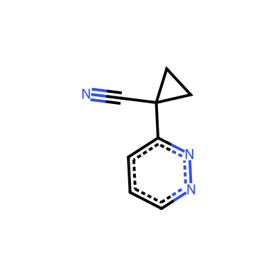 N#CC1(c2cccnn2)CC1